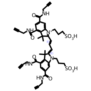 C#CCNC(=O)c1cc(C(=O)NCC#C)c2c(c1)N(CCCS(=O)(=O)O)/C(=C/C=C/C1=[N+](CCCS(=O)(=O)O)c3cc(C(=O)NCC#C)cc(C(=O)NCC#C)c3C1(C)C)C2(C)C